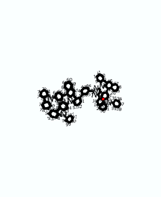 c1ccc(-c2cc(-n3c4ccccc4c4cc5ccccc5c(-c5ccc6c7ccccc7n(-c7ccccc7)c6c5)c43)nc(-c3cccc(-c4cccc5c4c4cc6ccccc6c(-c6ccc(-n7c8ccccc8c8ccccc87)cc6)c4n5-c4ccc5c6ccccc6n(-c6ccccc6)c5c4)c3)n2)cc1